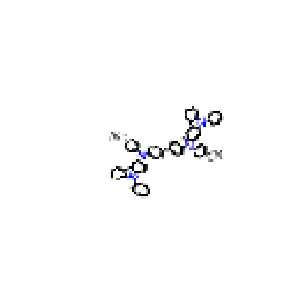 CC1(N(c2ccc(C#N)cc2)c2ccc(-c3ccc(N(c4ccc(C#N)cc4)c4ccc5c(c4)c4ccccc4n5-c4ccccc4)cc3)cc2)C=Cc2c(c3ccccc3n2C2=CC=CCC2)C1